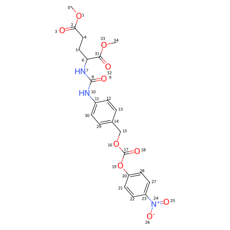 COC(=O)CCC(NC(=O)Nc1ccc(COC(=O)Oc2ccc([N+](=O)[O-])cc2)cc1)C(=O)OC